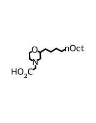 CCCCCCCCCCCCC1CN(CC(=O)O)CCO1